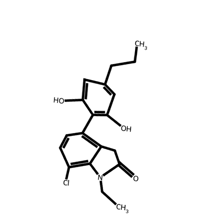 CCCc1cc(O)c(-c2ccc(Cl)c3c2CC(=O)N3CC)c(O)c1